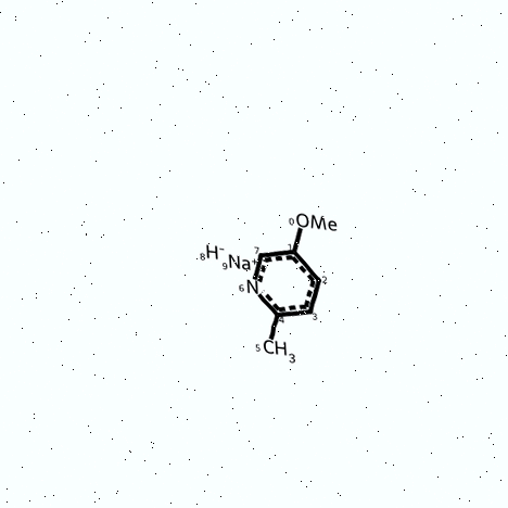 COc1ccc(C)nc1.[H-].[Na+]